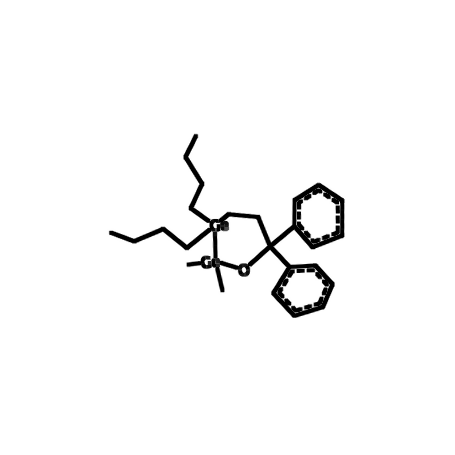 CCC[CH2][Ge]1([CH2]CCC)[CH2]CC(c2ccccc2)(c2ccccc2)[O][Ge]1([CH3])[CH3]